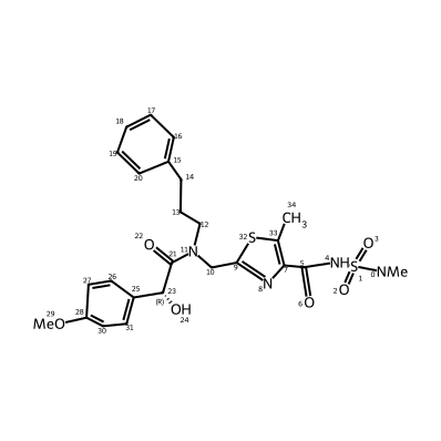 CNS(=O)(=O)NC(=O)c1nc(CN(CCCc2ccccc2)C(=O)[C@H](O)c2ccc(OC)cc2)sc1C